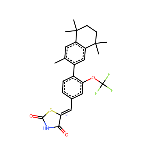 Cc1cc2c(cc1-c1ccc(/C=C3\SC(=O)NC3=O)cc1OC(F)(F)F)C(C)(C)CCC2(C)C